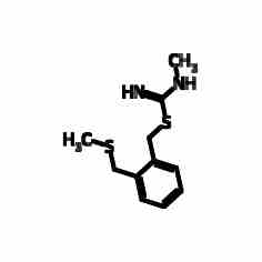 CNC(=N)SCc1ccccc1CSC